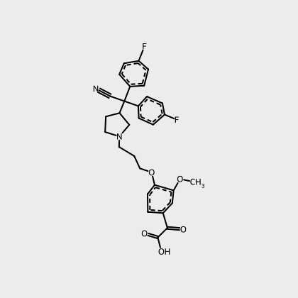 COc1cc(C(=O)C(=O)O)ccc1OCCCN1CCC(C(C#N)(c2ccc(F)cc2)c2ccc(F)cc2)C1